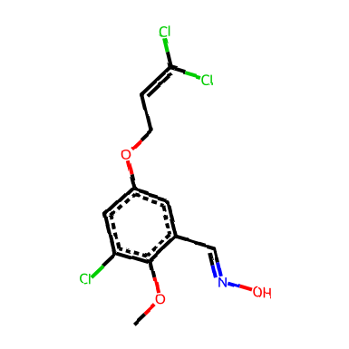 COc1c(Cl)cc(OCC=C(Cl)Cl)cc1C=NO